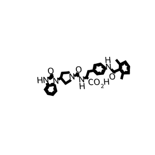 Cc1cccc(C)c1C(=O)Nc1ccc(CC(NC(=O)N2CCC(n3c(=O)[nH]c4ccccc43)CC2)C(=O)O)cc1